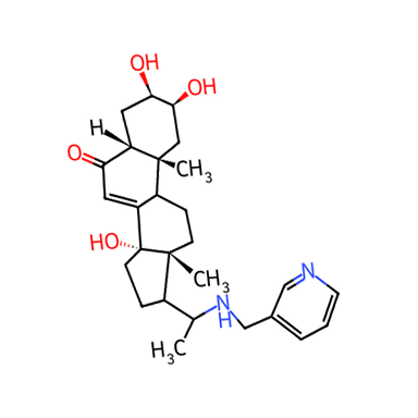 CC(NCc1cccnc1)C1CC[C@@]2(O)C3=CC(=O)[C@@H]4C[C@@H](O)[C@@H](O)C[C@]4(C)C3CC[C@]12C